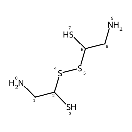 NCC(S)SSC(S)CN